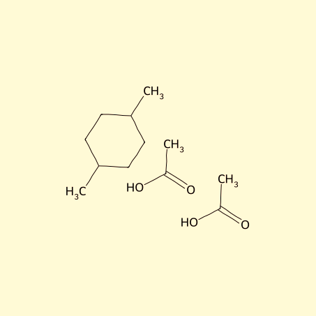 CC(=O)O.CC(=O)O.CC1CCC(C)CC1